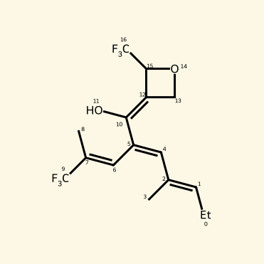 CC/C=C(C)/C=C(\C=C(/C)C(F)(F)F)C(/O)=C1\COC1C(F)(F)F